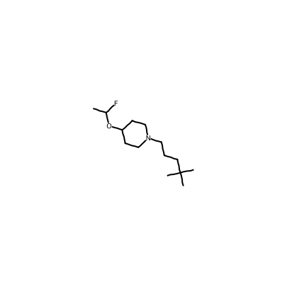 CC(F)OC1CCN(CCCC(C)(C)C)CC1